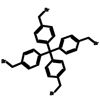 BrCc1ccc(C(c2ccc(CBr)cc2)(c2ccc(CBr)cc2)c2ccc(CBr)cc2)cc1